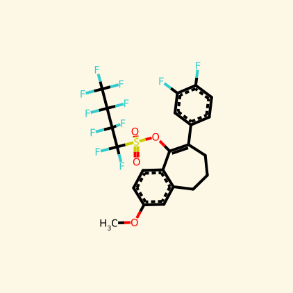 COc1ccc2c(c1)CCCC(c1ccc(F)c(F)c1)=C2OS(=O)(=O)C(F)(F)C(F)(F)C(F)(F)C(F)(F)F